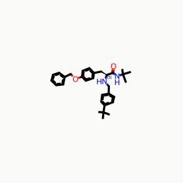 CC(C)(C)NC(=O)[C@H](Cc1ccc(OCc2ccccc2)cc1)NCc1ccc(C(C)(C)C)cc1